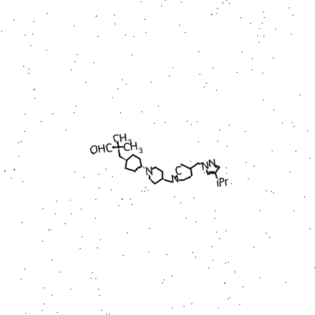 CC(C)c1cnn(CC2CCN(CC3CCN([C@H]4CC[C@H](CC(C)(C)C=O)CC4)CC3)CC2)c1